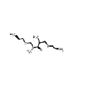 C=CCOCC(C)C(=O)N(C)COCC=C